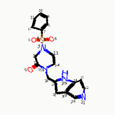 O=C1CN(S(=O)(=O)c2ccccc2)CCN1Cc1cc2cnccc2[nH]1